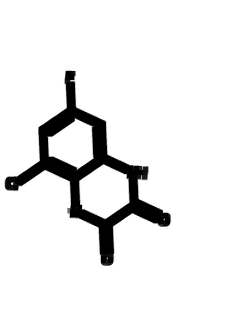 O=C1[N]c2c(Cl)cc(F)cc2NC1=O